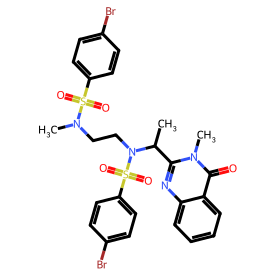 CC(c1nc2ccccc2c(=O)n1C)N(CCN(C)S(=O)(=O)c1ccc(Br)cc1)S(=O)(=O)c1ccc(Br)cc1